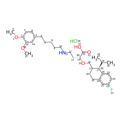 COc1ccc(CCCCCNCC[C@@H](OCC2CCc3cc(F)ccc3[C@@H]2C(C)C)C(=O)O)cc1OC.Cl